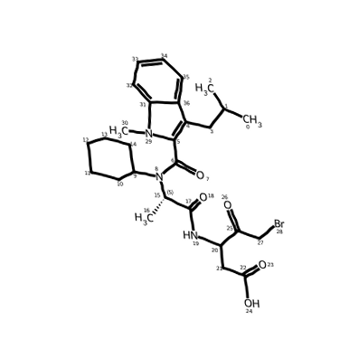 CC(C)Cc1c(C(=O)N(C2CCCCC2)[C@@H](C)C(=O)NC(CC(=O)O)C(=O)CBr)n(C)c2ccccc12